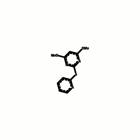 COc1cc(OC)nc(Sc2cc[c]cn2)n1